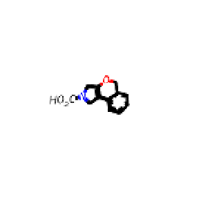 O=C(O)N1CC2=C(C1)c1ccccc1CO2